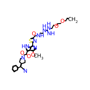 C=CCOCCOCCNC(=N)NCCNC(=O)c1csc(-c2ncc(OC)c3c(C(=O)C(=O)N4CCC(=C(C#N)c5ccccc5)CC4)c[nH]c23)n1